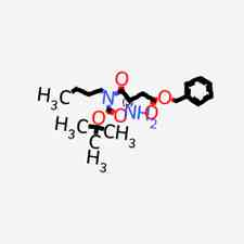 CCCCN(C(=O)OC(C)(C)C)C(=O)[C@@H](N)CC(=O)OCc1ccccc1